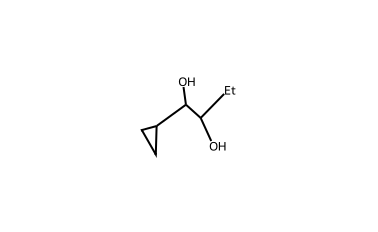 CCC(O)C(O)C1CC1